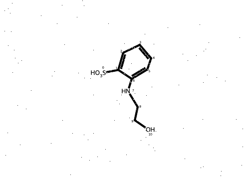 O=S(=O)(O)c1ccccc1NCCO